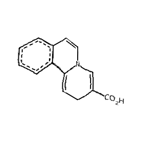 O=C(O)C1=CN2C=Cc3ccccc3C2=CC1